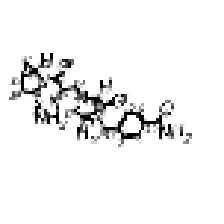 C[C@@H](c1ccc(C(N)=O)cc1)N1C(=O)[C@@H]2C[C@H]1CN2C[C@H](N)C(=O)N1[C@H](C#N)CC2C[C@@H]21